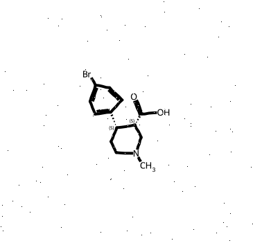 CN1CC[C@H](c2ccc(Br)cc2)[C@H](C(=O)O)C1